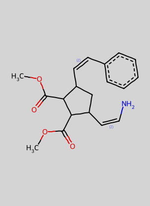 COC(=O)C1C(/C=C\N)CC(/C=C\c2ccccc2)C1C(=O)OC